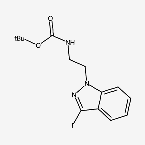 CC(C)(C)OC(=O)NCCn1nc(I)c2ccccc21